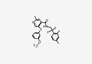 Cc1ccc(C(F)(F)CNC(=O)c2nc(C)nnc2Sc2cccc(OC(F)(F)F)c2)c(C)c1